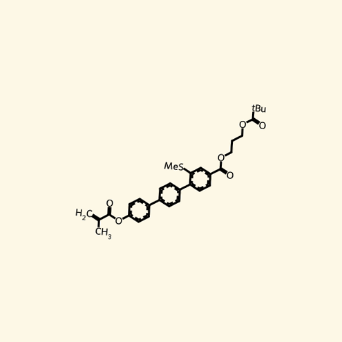 C=C(C)C(=O)Oc1ccc(-c2ccc(-c3ccc(C(=O)OCCCOC(=O)C(C)(C)C)cc3SC)cc2)cc1